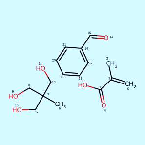 C=C(C)C(=O)O.CC(CO)(CO)CO.O=Cc1ccccc1